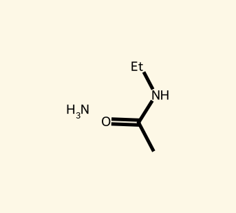 CCNC(C)=O.N